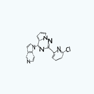 Clc1cccc(-c2nc(-n3ccc4cnccc43)c3cccn3n2)n1